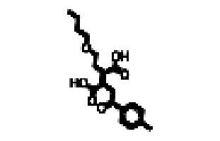 CCCCOCCC(C(=O)O)=C(CC(=O)c1ccc(C)cc1)C(=O)O